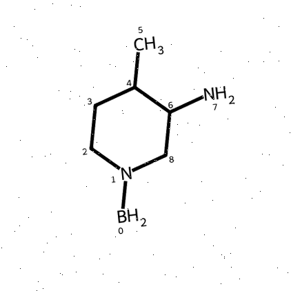 BN1CCC(C)C(N)C1